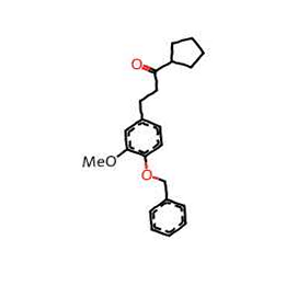 COc1cc(CCC(=O)C2CCCC2)ccc1OCc1ccccc1